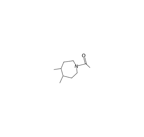 CC(=O)N1CCC(C)C(C)CC1